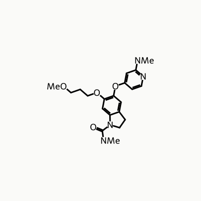 CNC(=O)N1CCc2cc(Oc3ccnc(NC)c3)c(OCCCOC)cc21